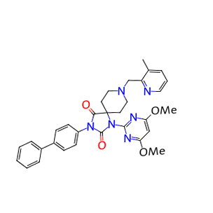 COc1cc(OC)nc(N2C(=O)N(c3ccc(-c4ccccc4)cc3)C(=O)C23CCN(Cc2ncccc2C)CC3)n1